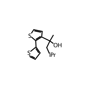 CC(C)CC(C)(O)c1ccsc1-c1cccs1